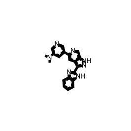 CN(C)c1cncc(-c2cc3c(-c4nc5ccccc5[nH]4)n[nH]c3cn2)c1